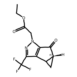 CCOC(=O)Cn1nc(C(F)(F)F)c2c1C(=O)[C@@H]1CC21